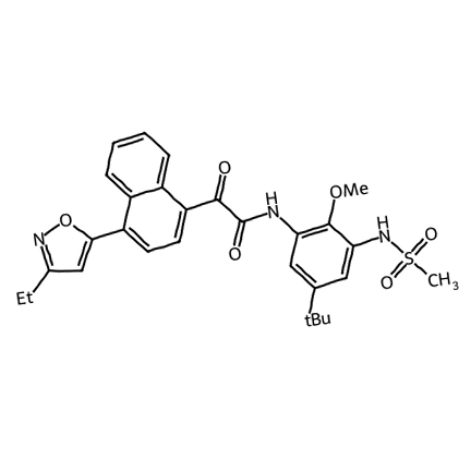 CCc1cc(-c2ccc(C(=O)C(=O)Nc3cc(C(C)(C)C)cc(NS(C)(=O)=O)c3OC)c3ccccc23)on1